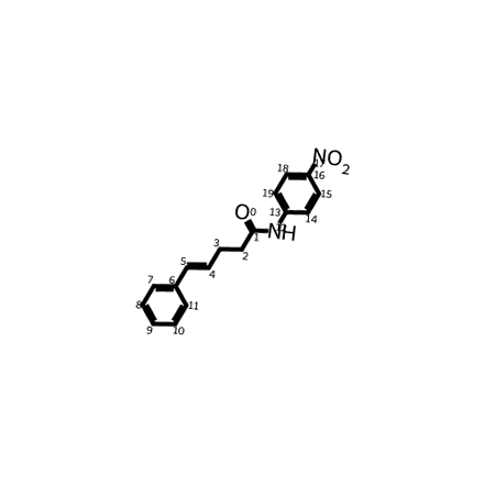 O=C(CC/C=C/c1ccccc1)Nc1ccc([N+](=O)[O-])cc1